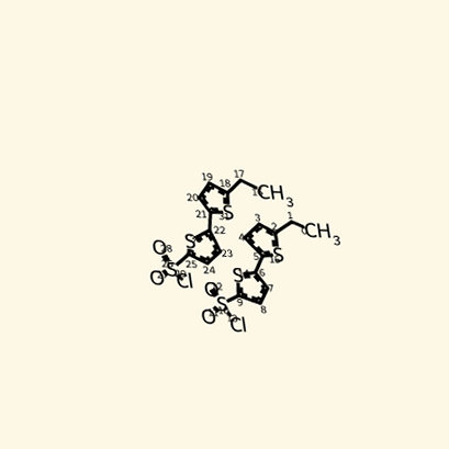 CCc1ccc(-c2ccc(S(=O)(=O)Cl)s2)s1.CCc1ccc(-c2ccc(S(=O)(=O)Cl)s2)s1